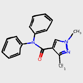 Cn1cc(C(=O)N(c2ccccc2)c2ccccc2)c(C(F)(F)F)n1